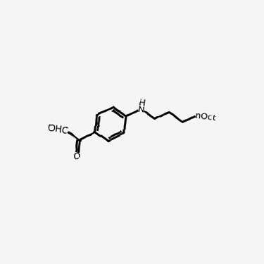 CCCCCCCCCCCNc1ccc(C(=O)C=O)cc1